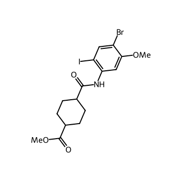 COC(=O)C1CCC(C(=O)Nc2cc(OC)c(Br)cc2I)CC1